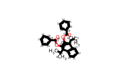 CC(C)C12CC(C(C)C)(c3ccccc31)C(OC(=O)c1ccccc1)C2OC(=O)c1ccccc1